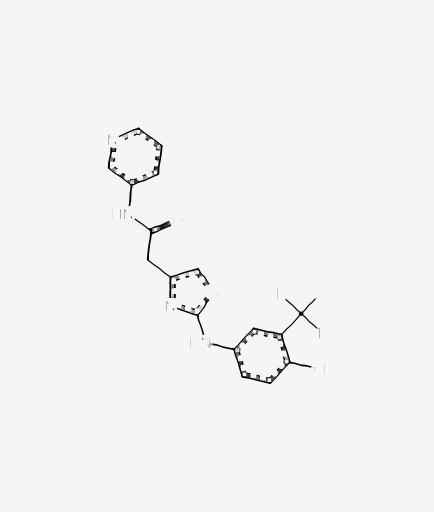 O=C(Cc1csc(Nc2ccc(Cl)c(C(F)(F)F)c2)n1)Nc1cccnc1